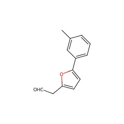 Cc1cccc(-c2ccc(CC=O)o2)c1